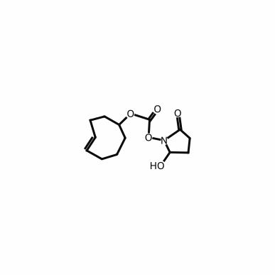 O=C(OC1CC/C=C/CCC1)ON1C(=O)CCC1O